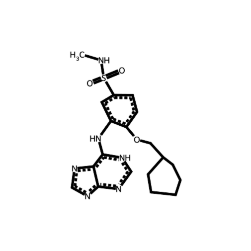 CNS(=O)(=O)c1ccc(OCC2CCCCC2)c(Nc2[nH]cnc3ncnc2-3)c1